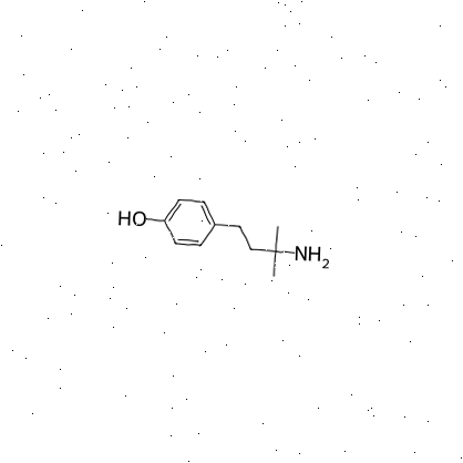 CC(C)(N)CCc1ccc(O)cc1